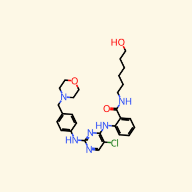 O=C(NCCCCCCO)c1ccccc1Nc1nc(Nc2ccc(CN3CCOCC3)cc2)ncc1Cl